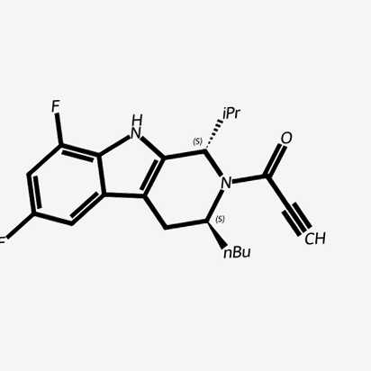 C#CC(=O)N1[C@@H](CCCC)Cc2c([nH]c3c(F)cc(F)cc23)[C@@H]1C(C)C